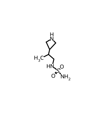 CC(CNS(N)(=O)=O)C1CNC1